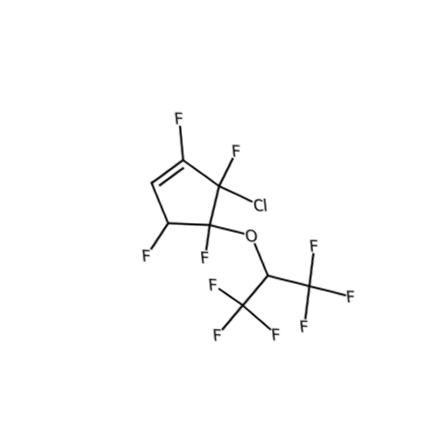 FC1=CC(F)C(F)(OC(C(F)(F)F)C(F)(F)F)C1(F)Cl